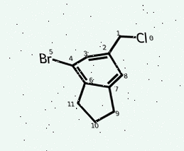 ClCc1cc(Br)c2c(c1)CCC2